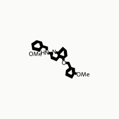 COc1cccc(COc2cccc3nc(NCc4ccccc4OC)ccc23)c1